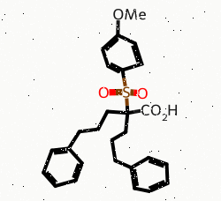 COc1ccc(S(=O)(=O)C(CCCc2ccccc2)(CCCc2ccccc2)C(=O)O)cc1